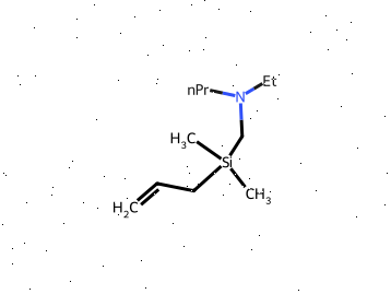 C=CC[Si](C)(C)CN(CC)CCC